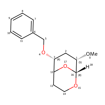 CO[C@H]1C[C@@H](OCc2ccccc2)C2CCO[C@@H]1O2